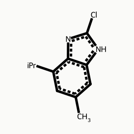 Cc1cc(C(C)C)c2nc(Cl)[nH]c2c1